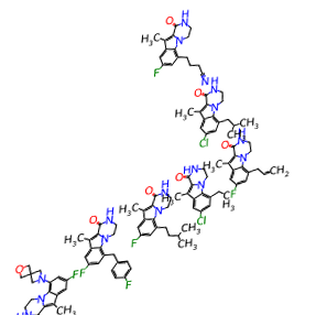 C=CCc1cc(F)cc2c(C)c3n(c12)CCNC3=O.CCc1cc(Cl)cc2c(C)c3n(c12)CCNC3=O.Cc1c2n(c3c(CC(C)C)cc(Cl)cc13)CCNC2=O.Cc1c2n(c3c(CCC(C)C)cc(F)cc13)CCNC2=O.Cc1c2n(c3c(CCCC#N)cc(F)cc13)CCNC2=O.Cc1c2n(c3c(Cc4ccc(F)cc4)cc(F)cc13)CCNC2=O.Cc1c2n(c3c(N4CC5(COC5)C4)cc(F)cc13)CCNC2=O